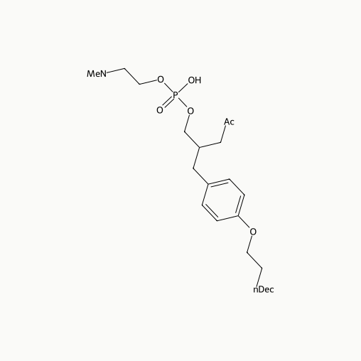 CCCCCCCCCCCCOc1ccc(CC(COP(=O)(O)OCCNC)CC(C)=O)cc1